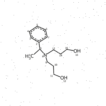 CC(c1ccccc1)N(CCCO)CCCO